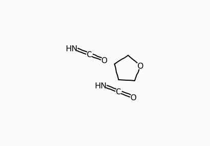 C1CCOC1.N=C=O.N=C=O